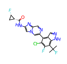 CC(C)(F)c1c(F)c(Cl)c(-c2cn3cc(NC(=O)[C@@H]4C[C@@H]4F)nc3cn2)c2cn[nH]c12